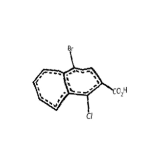 O=C(O)c1cc(Br)c2ccccc2c1Cl